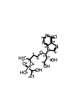 CCC(O)P(=O)(O)OC(C)CCO[C@H]([C@H](O)CO)n1cnc2c(Cl)ncnc21